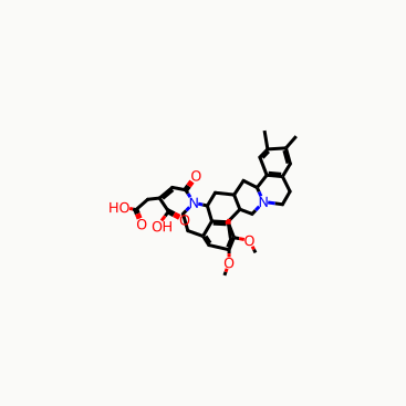 CCC1CN2CCc3cc(C)c(C)cc3C2CC1CC1c2cc(OC)c(OC)cc2CCN1C(=O)/C=C(/CC(=O)O)C(=O)O